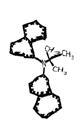 CC(C)(C)N(c1ccc2ccccc2c1)c1cccc2ccccc12